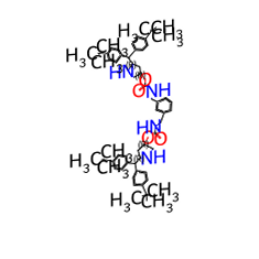 CC(C)(C)c1ccc(C(c2ccc(C(C)(C)C)cc2)[C@H]2C[C@@H](OC(=O)NCc3cccc(CNC(=O)O[C@H]4CN[C@@H](C(c5ccc(C(C)(C)C)cc5)c5ccc(C(C)(C)C)cc5)C4)c3)CN2)cc1